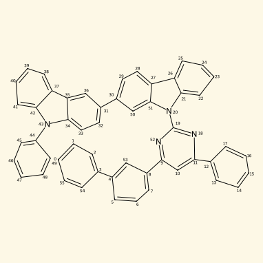 c1ccc(-c2cccc(-c3cc(-c4ccccc4)nc(-n4c5ccccc5c5ccc(-c6ccc7c(c6)c6ccccc6n7-c6ccccc6)cc54)n3)c2)cc1